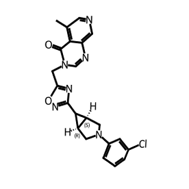 Cc1cncc2ncn(Cc3nc(C4[C@H]5CN(c6cccc(Cl)c6)C[C@@H]45)no3)c(=O)c12